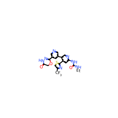 CCNC(=O)Nc1cc(-c2nc(C(F)(F)F)cs2)c(-c2cncc(C3=NNC(=O)CO3)c2)cn1